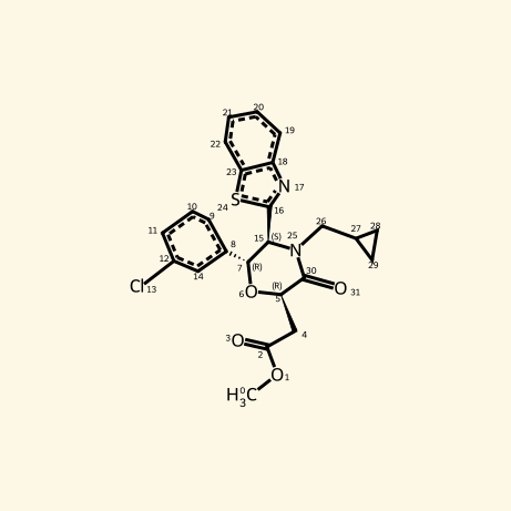 COC(=O)C[C@H]1O[C@H](c2cccc(Cl)c2)[C@@H](c2nc3ccccc3s2)N(CC2CC2)C1=O